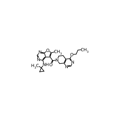 CCCOc1ncnc2c1CCN(C(=O)c1c(C)oc3ncnc(NC4(C)CC4)c13)C2